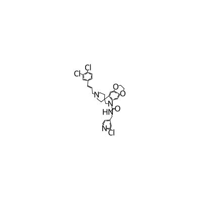 O=C(NCc1ccnc(Cl)c1)N1CC2(CCN(CC=Cc3ccc(Cl)c(Cl)c3)CC2)c2cc3c(cc21)OCCO3